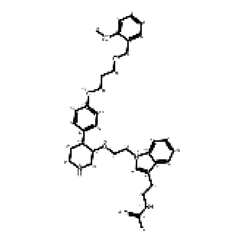 COc1ccccc1COCCCOc1ccc(C2CCNCC2OCCn2cc(CCNC(C)=O)c3ccccc32)cc1